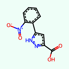 O=C(O)c1cc(-c2ccccc2[N+](=O)[O-])[nH]n1